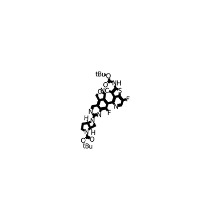 CC(C)(C)OC(=O)Nc1sc2c(F)cnc(-c3c4c(c5cnc(N6C[C@@H]7[C@H]6CCN7C(=O)OC(C)(C)C)nc5c3F)COC4)c2c1C#N